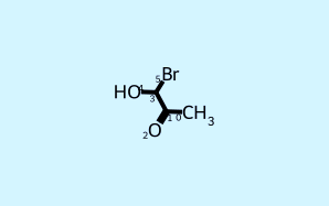 CC(=O)C(O)Br